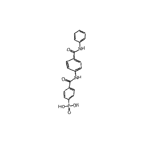 O=C(Nc1ccccc1)c1ccc(NC(=O)c2ccc(P(=O)(O)O)cc2)cc1